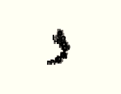 CCCN1CCC(N2CC(c3cnc4ccc(NC(=O)NC5CCCC5)nc4c3)C=N2)CC1